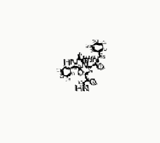 CC(=O)N[C@H](C(=O)N[C@@H](CCC(=O)C=N)C(=O)NCc1ccccc1)c1ccccc1